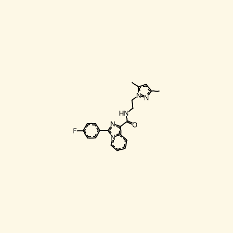 Cc1cc(C)n(CCNC(=O)c2nc(-c3ccc(F)cc3)n3ccccc23)n1